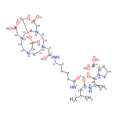 CC(C)[C@H](NC(=O)CCCCCNC(=O)CN1CCN2CCN3CCN(CC1)CC(=O)OC(OC(=O)C2)OC(=O)C3)C(=O)N[C@H](C)C(=O)N1CCC[C@H]1B(O)O